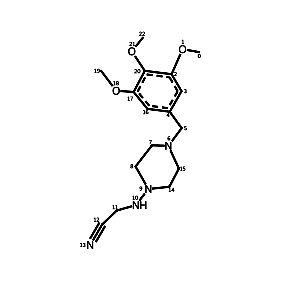 COc1cc(CN2CCN(NCC#N)CC2)cc(OC)c1OC